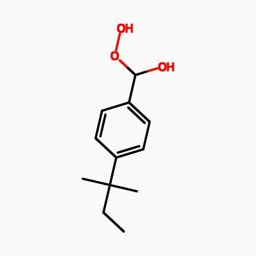 CCC(C)(C)c1ccc(C(O)OO)cc1